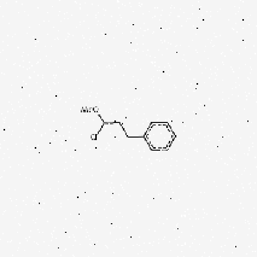 COC(Cl)CCc1ccccc1